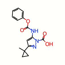 CC1(c2cc(NC(=O)Oc3ccccc3)n(C(=O)O)n2)CC1